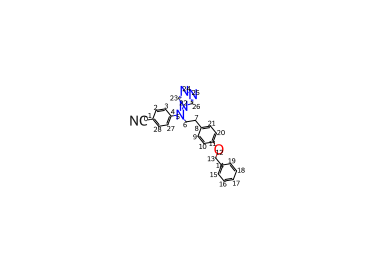 N#Cc1ccc(N(CCc2ccc(OCc3ccccc3)cc2)n2cnnc2)cc1